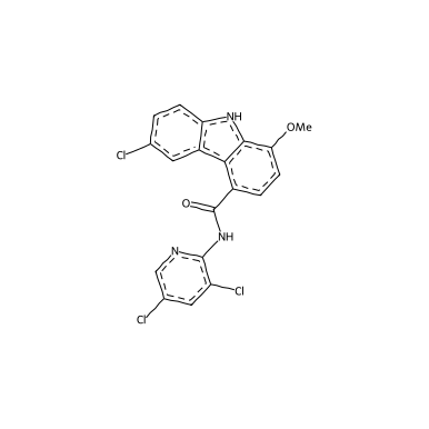 COc1ccc(C(=O)Nc2ncc(Cl)cc2Cl)c2c1[nH]c1ccc(Cl)cc12